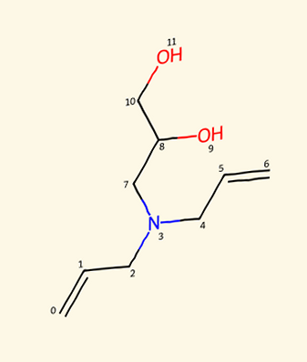 C=CCN(CC=C)CC(O)CO